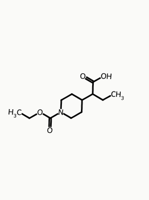 CCOC(=O)N1CCC(C(CC)C(=O)O)CC1